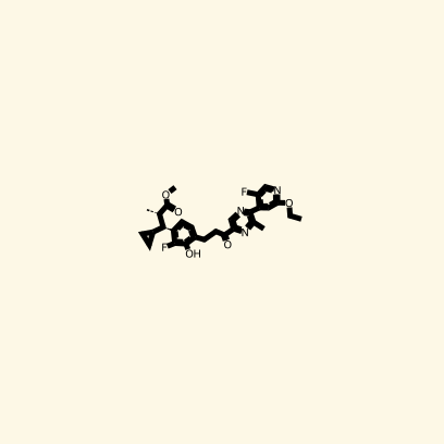 CCOc1cc(-c2ncc(C(=O)CCc3ccc([C@H](C4CC4)[C@H](C)C(=O)OC)c(F)c3O)nc2C)c(F)cn1